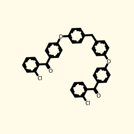 O=C(c1ccc(Oc2ccc(Cc3ccc(Oc4ccc(C(=O)c5ccccc5Cl)cc4)cc3)cc2)cc1)c1ccccc1Cl